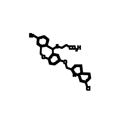 O=C(O)CCSC1c2ccc(Br)cc2COc2ccc(OCc3ccc4ccc(Cl)cc4n3)cc21